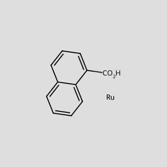 O=C(O)c1cccc2ccccc12.[Ru]